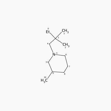 CCC(C)(C)CN1CCCC(C)C1